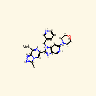 CNc1nc(-c2nc3cnc(N4CCOCC4)cc3n2Cc2cccnc2)cn2c(C)nnc12